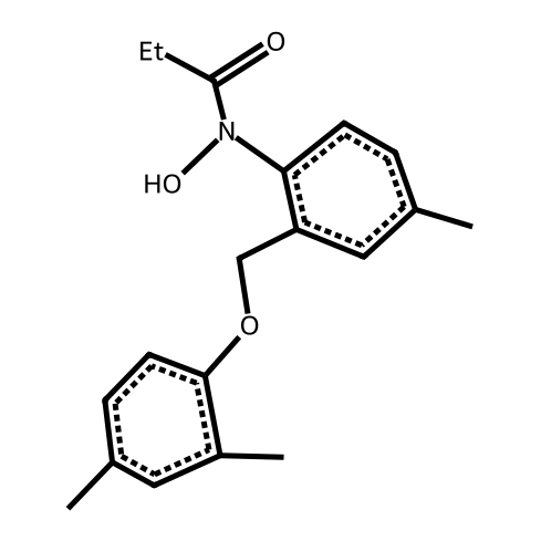 CCC(=O)N(O)c1ccc(C)cc1COc1ccc(C)cc1C